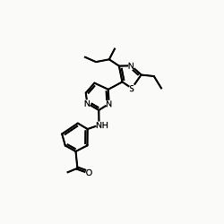 CCc1nc(C(C)CC)c(-c2ccnc(Nc3cccc(C(C)=O)c3)n2)s1